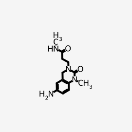 CNC(=O)CCN1Cc2cc(N)ccc2N(C)C1=O